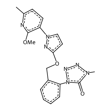 COc1nc(C)ccc1-n1ccc(OCc2ccccc2-n2nnn(C)c2=O)n1